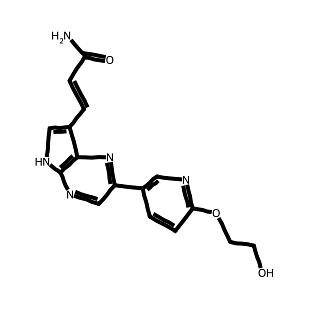 NC(=O)/C=C/c1c[nH]c2ncc(-c3ccc(OCCO)nc3)nc12